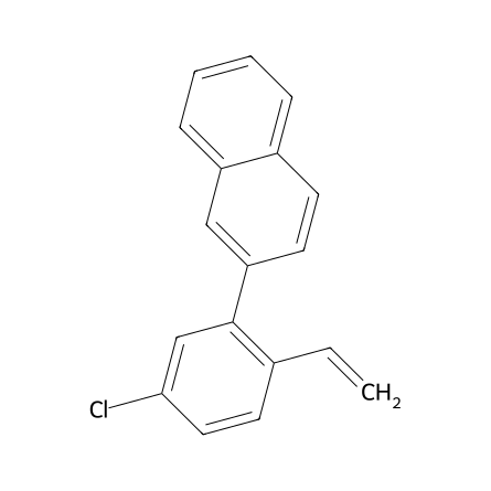 C=Cc1ccc(Cl)cc1-c1ccc2ccccc2c1